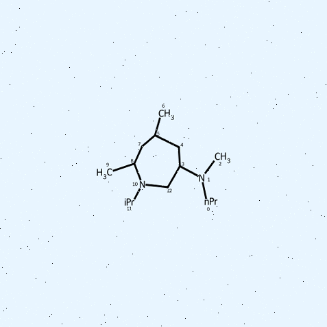 CCCN(C)C1CC(C)CC(C)N(C(C)C)C1